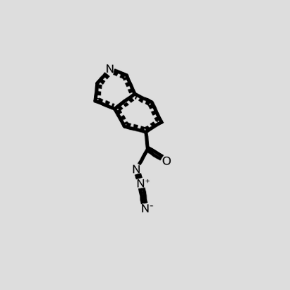 [N-]=[N+]=NC(=O)c1ccc2cnccc2c1